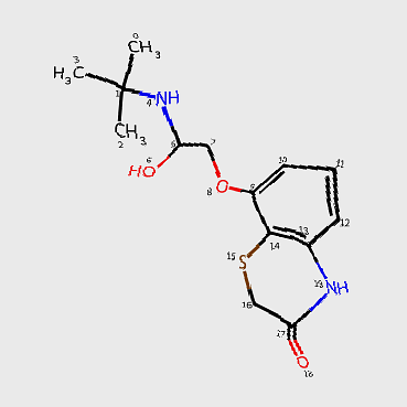 CC(C)(C)NC(O)COc1cccc2c1SCC(=O)N2